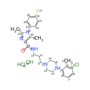 Cc1c(Cl)cccc1N1CCN(CCCNC(=O)c2nc(C)n(-c3ccc(F)cc3)c2C)CC1.Cl.Cl